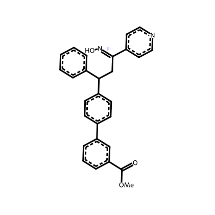 COC(=O)c1cccc(-c2ccc(C(C/C(=N\O)c3ccncc3)c3ccccc3)cc2)c1